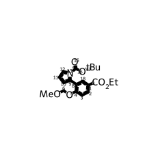 CCOC(=O)c1ccc(OCOC)c(-c2cccn2C(=O)OC(C)(C)C)c1